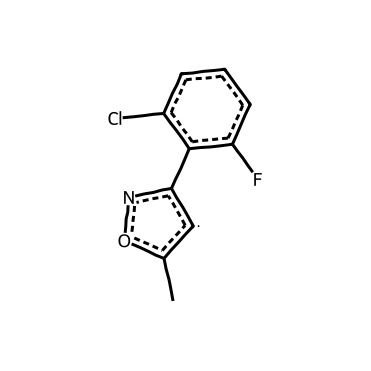 Cc1[c]c(-c2c(F)cccc2Cl)no1